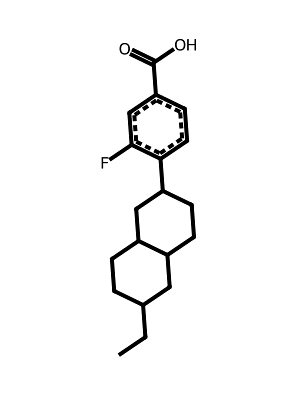 CCC1CCC2CC(c3ccc(C(=O)O)cc3F)CCC2C1